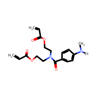 C=CC(=O)OCCN(CCOC(=O)C=C)C(=O)c1ccc(N(C)CC)cc1